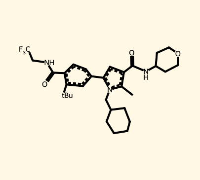 Cc1c(C(=O)NC2CCOCC2)cc(-c2ccc(C(=O)NCC(F)(F)F)c(C(C)(C)C)c2)n1CC1CCCCC1